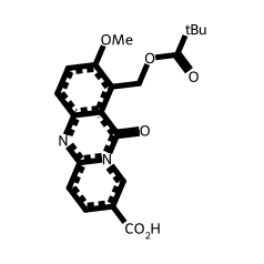 COc1ccc2nc3ccc(C(=O)O)cn3c(=O)c2c1COC(=O)C(C)(C)C